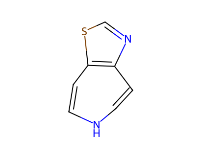 C1=Cc2ncsc2C=CN1